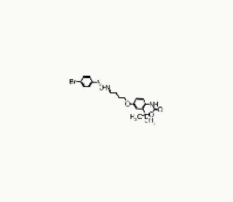 CC1(C)OC(=O)Nc2ccc(OCCCC=NOSc3ccc(Br)cc3)cc21